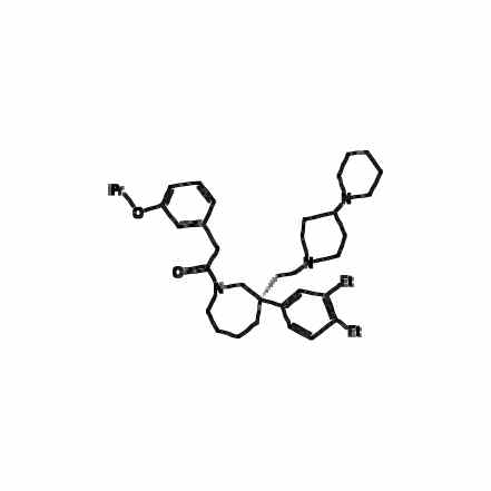 CCc1ccc([C@@]2(CCN3CCC(N4CCCCC4)CC3)CCCCN(C(=O)Cc3cccc(OC(C)C)c3)C2)cc1CC